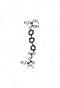 C=C(C)C(=O)OCC(=O)Oc1ccc(-c2ccc(-c3ccc(OC(O)C(=C)C)cc3)cc2)cc1